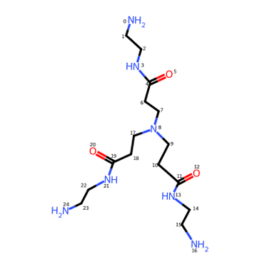 NCCNC(=O)CCN(CCC(=O)NCCN)CCC(=O)NCCN